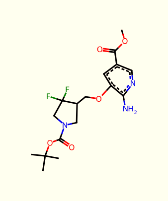 COC(=O)c1cnc(N)c(OCC2CN(C(=O)OC(C)(C)C)CC2(F)F)c1